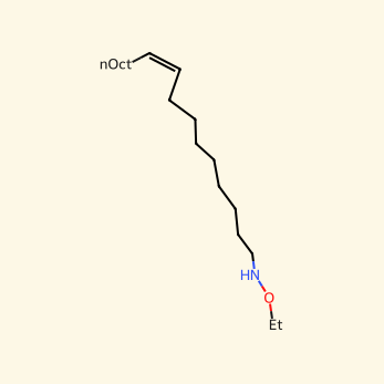 CCCCCCCC/C=C\CCCCCCCCNOCC